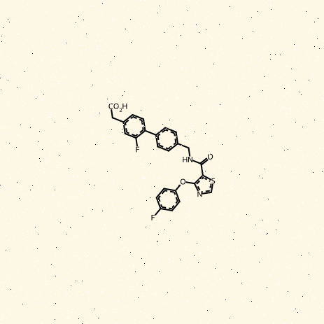 O=C(O)Cc1ccc(-c2ccc(CNC(=O)c3scnc3Oc3ccc(F)cc3)cc2)c(F)c1